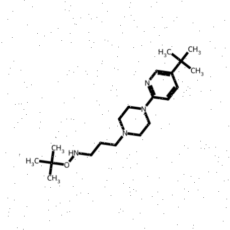 CC(C)(C)ONCCCN1CCN(c2ccc(C(C)(C)C)cn2)CC1